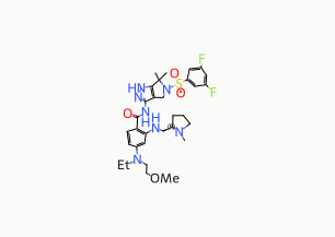 CCN(CCOC)c1ccc(C(=O)Nc2n[nH]c3c2CN(S(=O)(=O)c2cc(F)cc(F)c2)C3(C)C)c(NC[C@H]2CCCN2C)c1